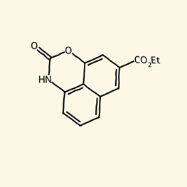 CCOC(=O)c1cc2c3c(cccc3c1)NC(=O)O2